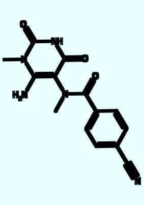 CN(C(=O)c1ccc(C#N)cc1)c1c(N)n(C)c(=O)[nH]c1=O